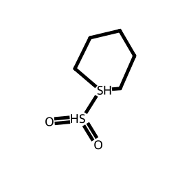 O=[SH](=O)[SH]1CCCCC1